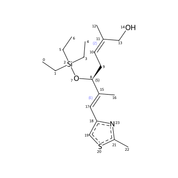 CC[Si](CC)(CC)O[C@@H](C/C=C(/C)CO)/C(C)=C/c1csc(C)n1